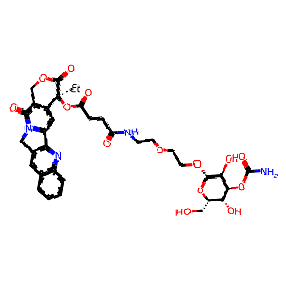 CC[C@@]1(OC(=O)CCC(=O)NCCOCCO[C@H]2O[C@@H](CO)[C@@H](O)[C@H](OC(N)=O)[C@@H]2O)C(=O)OCc2c1cc1n(c2=O)Cc2cc3ccccc3nc2-1